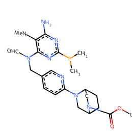 CNc1c(N)nc(P(C)C)nc1N(C=O)Cc1ccc(N2CC3CCC2CN3C(=O)OC(C)(C)C)nc1